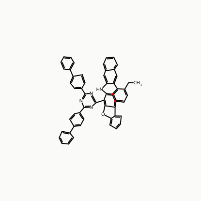 CCc1ccccc1-c1cc2ccccc2cc1Nc1ccc2c(oc3ccccc32)c1-c1nc(-c2ccc(-c3ccccc3)cc2)nc(-c2ccc(-c3ccccc3)cc2)n1